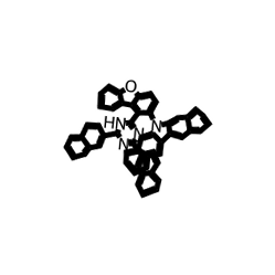 c1ccc2cc(C3=NC(c4ccc5ccccc5c4)NC(c4c(-n5c6cc7ccccc7cc6c6cc7ccccc7cc65)ccc5oc6ccccc6c45)=N3)ccc2c1